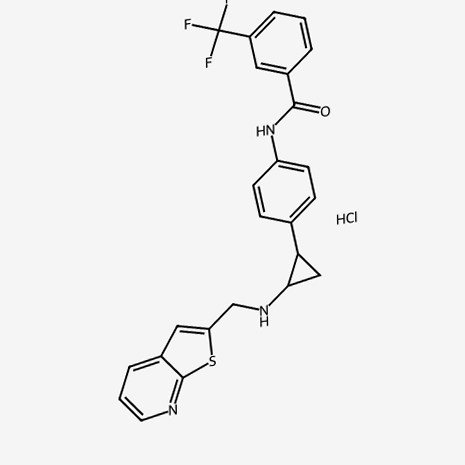 Cl.O=C(Nc1ccc(C2CC2NCc2cc3cccnc3s2)cc1)c1cccc(C(F)(F)F)c1